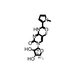 C[C@H]1O[C@@H](n2cc(F)c(NC(=O)c3cccn3C)nc2=O)[C@H](O)[C@@H]1O